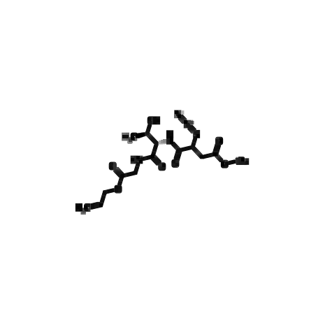 C=CCOC(=O)CNC(=O)[C@@H](NC(=O)C(CC(=O)OC(C)(C)C)N=[N+]=[N-])[C@@H](C)O